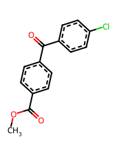 COC(=O)c1ccc(C(=O)c2ccc(Cl)cc2)cc1